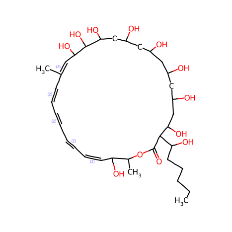 CCCCCC(O)C1C(=O)OC(C)C(O)\C=C/C=C\C=C/C=C\C(C)=C/C(O)C(O)C(O)CC(O)CC(O)CC(O)CC(O)CC1O